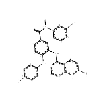 CC(C)c1ccc2c(Nc3cc(C(=O)N(C)c4cccc(F)c4)ccc3Sc3ccc(N)cc3)ncnc2n1